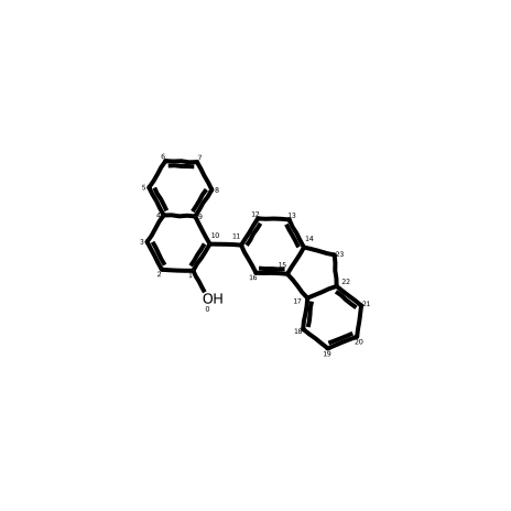 Oc1ccc2ccccc2c1-c1ccc2c(c1)-c1ccccc1C2